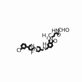 CC(CCC(=O)NC=O)N1Cc2cc(CNCC3CCN(c4ncc(-c5cccc(Cl)c5)cc4F)CC3)ccc2C1=O